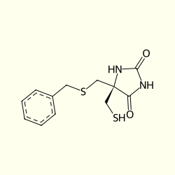 O=C1NC(=O)[C@](CS)(CSCc2ccccc2)N1